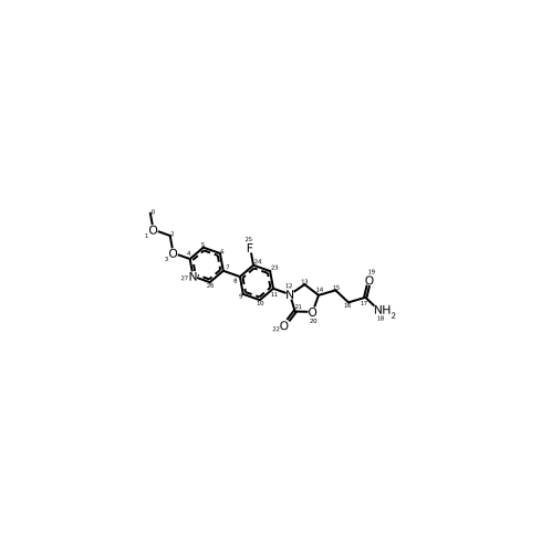 COCOc1ccc(-c2ccc(N3CC(CCC(N)=O)OC3=O)cc2F)cn1